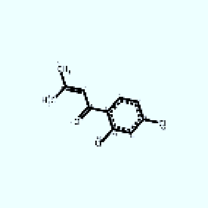 CC(C)=CC(=O)c1ccc(Cl)cc1Cl